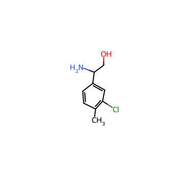 Cc1ccc(C(N)CO)cc1Cl